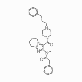 CN(C(=O)Cc1ccccc1)c1nc2n(c1C(=O)N1CCN(CCCc3ccccc3)CC1)CCCC2